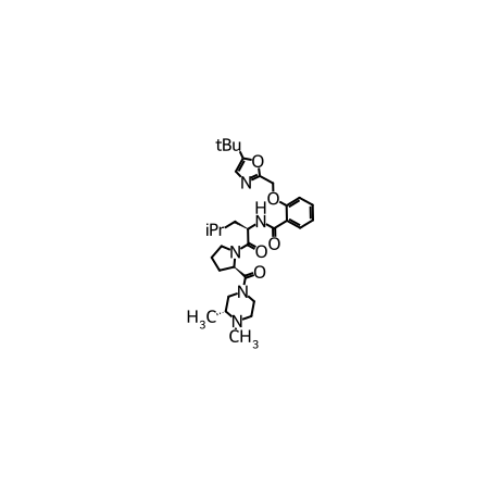 CC(C)C[C@@H](NC(=O)c1ccccc1OCc1ncc(C(C)(C)C)o1)C(=O)N1CCC[C@@H]1C(=O)N1CCN(C)[C@H](C)C1